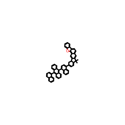 CC1(C)C2=CC=C(c3ccc(-c4c5ccccc5c(-c5cccc6ccccc56)c5ccccc45)c4ccccc34)CC2c2cc3c(ccc4c5ccccc5oc34)cc21